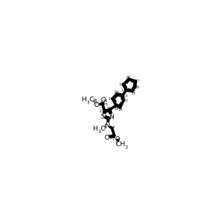 COC(=O)CN(C)c1nc(-c2ccc(-c3ccccc3)cc2)c(C(=O)OC)s1